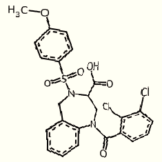 COc1ccc(S(=O)(=O)N2Cc3ccccc3N(C(=O)c3cccc(Cl)c3Cl)CC2C(=O)O)cc1